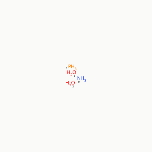 N.O.O.P